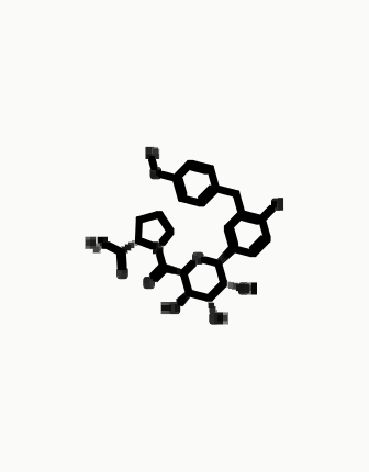 CCOc1ccc(Cc2cc([C@@H]3O[C@H](C(=O)N4CCC[C@H]4C(N)=O)[C@H](O)[C@@H](O)[C@H]3O)ccc2Cl)cc1